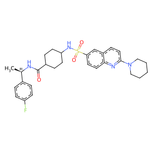 C[C@@H](NC(=O)C1CCC(NS(=O)(=O)c2ccc3nc(N4CCCCC4)ccc3c2)CC1)c1ccc(F)cc1